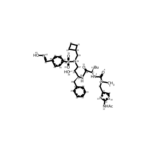 CC[C@H](C)[C@H](NC(=O)N(C)Cc1csc(NC(C)=O)n1)C(=O)N[C@@H](Cc1ccccc1)[C@H](O)CN(CC1CCC1)S(=O)(=O)c1ccc(C=NO)cc1